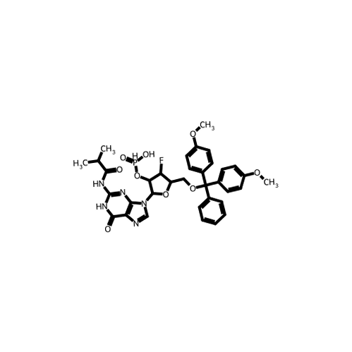 COc1ccc(C(OCC2OC(n3cnc4c(=O)[nH]c(NC(=O)C(C)C)nc43)C(O[PH](=O)O)C2F)(c2ccccc2)c2ccc(OC)cc2)cc1